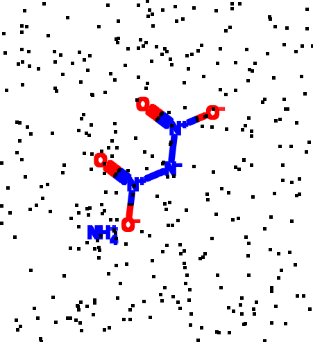 O=[N+]([O-])[N-][N+](=O)[O-].[NH4+]